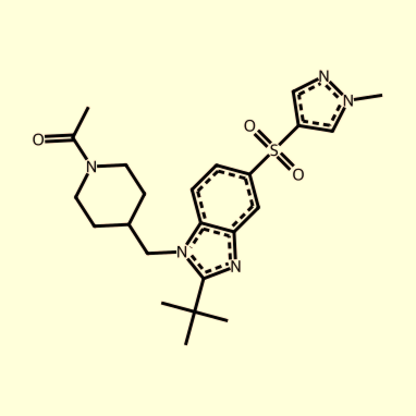 CC(=O)N1CCC(Cn2c(C(C)(C)C)nc3cc(S(=O)(=O)c4cnn(C)c4)ccc32)CC1